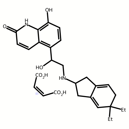 CCC1(CC)C=C2CC(NCC(O)c3ccc(O)c4[nH]c(=O)ccc34)CC2=CC1.O=C(O)/C=C\C(=O)O